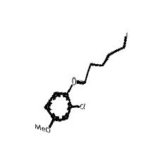 COc1ccc(OCCCCCI)c(Cl)c1